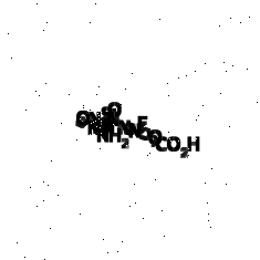 CC(Oc1ccc(N2CCN(CCn3c(=O)sc4c3nc(N)n3nc(-c5ccco5)nc43)CC2)c(F)c1)C(=O)O